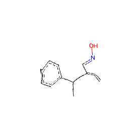 C=C(C=NO)C(C)c1ccccc1